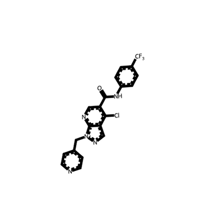 O=C(Nc1ccc(C(F)(F)F)cc1)c1cnc2c(cnn2Cc2ccncc2)c1Cl